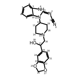 N#CN=c1[nH]c2ccccc2n1C1CCN(CC(O)c2ccc3c(c2)OCO3)CC1